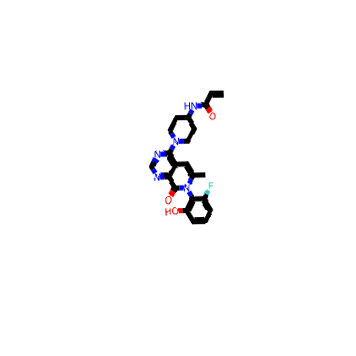 C=CC(=O)NC1CCN(c2ncnc3c(=O)n(-c4c(O)cccc4F)c(C)cc23)CC1